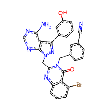 N#Cc1cccc(Cn2c(Cn3nc(-c4cccc(O)c4)c4c(N)ncnc43)nc3cccc(Br)c3c2=O)c1